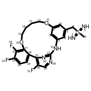 CS(=N)(=N)Cc1cc2cc(c1)OCCCCOc1c(ccc(F)c1F)-c1nc(ncc1F)N2